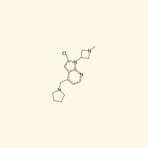 CN1CC(n2c(Cl)cc3c(CN4CCCC4)ccnc32)C1